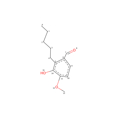 CCCCCc1c(C=O)ccc(OC)c1O